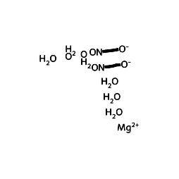 O.O.O.O.O.O.O=N[O-].O=N[O-].[Mg+2]